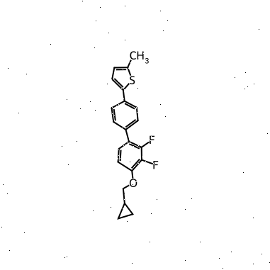 Cc1ccc(-c2ccc(-c3ccc(OCC4CC4)c(F)c3F)cc2)s1